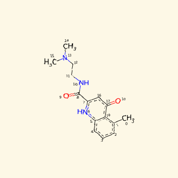 Cc1cccc2[nH]c(C(=O)NCCN(C)C)cc(=O)c12